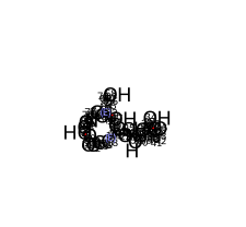 COC1CC(C)C2(O)OC1[C@@H](OC)C[C@@H](C)C/C(C)=C/[C@@H](CCOC(=O)NCc1c3oc4cc(O)ccc4c(-c4ccccc4C(=O)O)c-3ccc1=O)C(=O)CC(O)[C@@H](C)[C@@H](/C(C)=C/C1CC[C@@H](O)C(C)C1)OC(=O)C1CCCCN1C(=O)C2=O